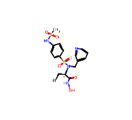 CC(C)C[C@H](C(=O)NO)N(Cc1cccnc1)S(=O)(=O)c1ccc(NS(C)(=O)=O)cc1